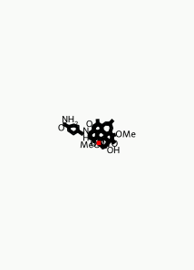 COc1c2c3c4c(c(C)c(=O)c5c(NCC6CCC(C(N)=O)CC6)cc(OC)c(c6c(OC)cc(O)c(c1=O)c63)c54)C=C(C)C2